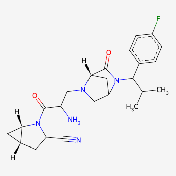 CC(C)C(c1ccc(F)cc1)N1C(=O)[C@@H]2CC1CN2CC(N)C(=O)N1C(C#N)C[C@@H]2C[C@@H]21